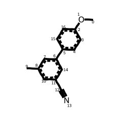 COc1ccc(-c2cc(C)cc(C#N)c2)cc1